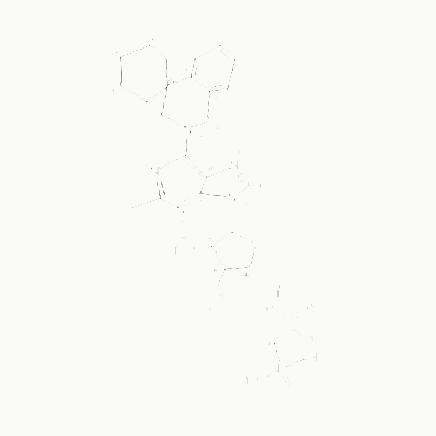 O=P(O)(O)CP(=O)(O)OC[C@H]1O[C@@H](n2cnc3c(N4Cc5ccccc5C5(CCCCC5)C4)nc(Cl)nc32)[C@@H](O)C1O